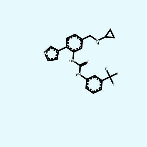 O=C(Nc1cccc(C(F)(F)F)c1)Nc1cc(CNC2CC2)ccc1-c1ccsc1